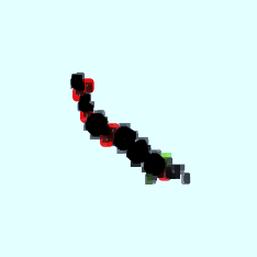 C=CC(=O)OCCCOc1ccc(C(=O)OC2CCC(C3CCC(c4cc(F)c(OC(F)(F)F)c(F)c4)CC3)CC2)cc1